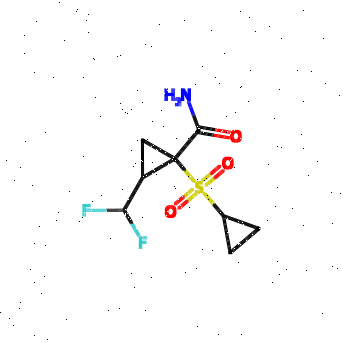 NC(=O)C1(S(=O)(=O)C2CC2)CC1C(F)F